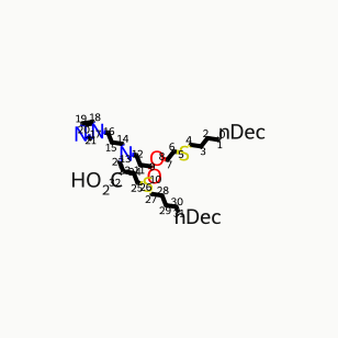 CCCCCCCCCCCCCCSCCOC(=O)CCN(CCCn1ccnc1)CC(CCSCCCCCCCCCCCCCC)C(=O)O